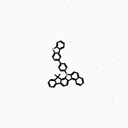 CC1(C)c2ccccc2-c2ccc3c4c5ccccc5ccc4n(-c4ccc(-c5ccc6oc7ccccc7c6c5)cc4)c3c21